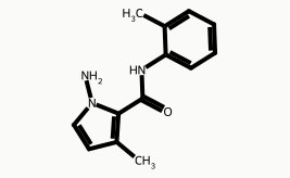 Cc1ccccc1NC(=O)c1c(C)ccn1N